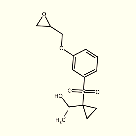 C[C@H](O)C1(S(=O)(=O)c2cccc(OCC3CO3)c2)CC1